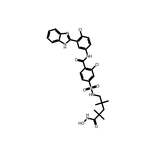 CC(C)(CNS(=O)(=O)c1ccc(C(=O)Nc2ccc(Cl)c(-c3nc4ccccc4[nH]3)c2)c(Cl)c1)CC(C)(C)C(=O)NO